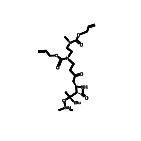 C=CCOC(=O)N(C)CCN(CCC(=O)C[C@H]1NC(=O)[C@@H]1[C@@](C)(O[SiH](C)C)C(C)(C)C)C(=O)OCC=C